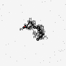 CC[C@H](C)[C@@H]([C@@H](CC(=O)N1CCC[C@H]1[C@H](OC)[C@@H](C)C(=O)N[C@H](C)[C@H](O)c1ccccc1)OC)N(C)C(=O)[C@@H](NC(=O)[C@H](C(C)C)N(C)C(=O)OCc1ccc(NC(=O)[C@H](CCCNC(N)=O)NC(=O)[C@@H](NC(=O)CCCCCN2C(=O)C3C4C=C(C(C)C)C(C4)C3C2=O)C(C)C)cc1)C(C)C